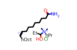 CCCCCCCC/C=C\CCCCCCCC(N)=O.CCC[N+](C)(C)C(O)CC.[Cl-]